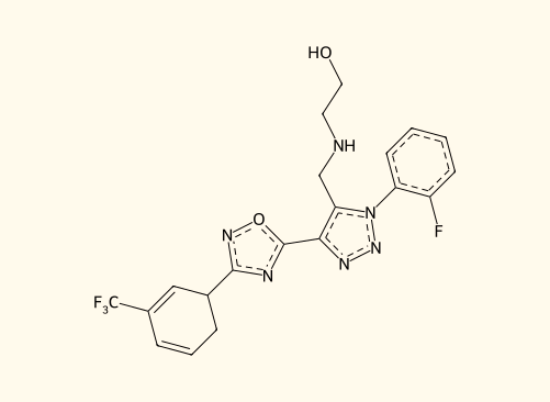 OCCNCc1c(-c2nc(C3C=C(C(F)(F)F)C=CC3)no2)nnn1-c1ccccc1F